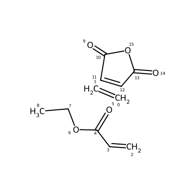 C=C.C=CC(=O)OCC.O=C1C=CC(=O)O1